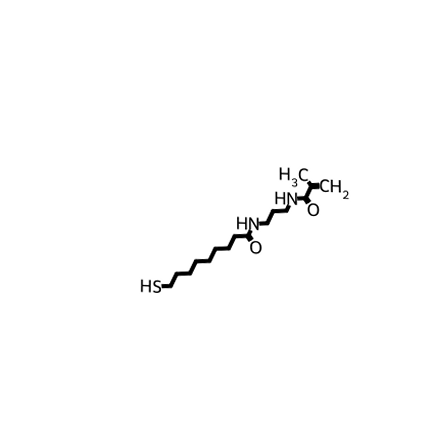 C=C(C)C(=O)NCCCNC(=O)CCCCCCCCS